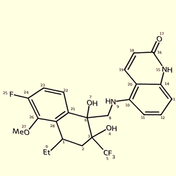 CCC1CC(O)(C(F)(F)F)C(O)(CNc2cccc3[nH]c(=O)ccc23)c2ccc(F)c(OC)c21